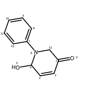 O=C1C=CC(O)N(c2ccccc2)C1